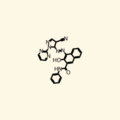 N#CC1C=NN(c2ncccn2)C1/N=N/c1c(O)c(C(=O)Nc2ccccc2)cc2ccccc12